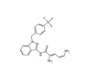 N/C=C\C=C(/N)C(=O)Nc1nn(Cc2ccc(C(F)(F)F)cc2)c2ccccc12